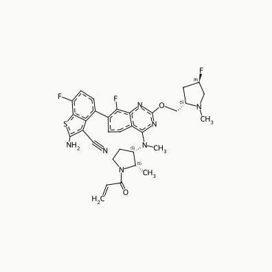 C=CC(=O)N1CC[C@H](N(C)c2nc(OC[C@@H]3C[C@@H](F)CN3C)nc3c(F)c(-c4ccc(F)c5sc(N)c(C#N)c45)ccc23)[C@@H]1C